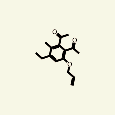 C=CCOc1cc(CC)c(C)c(C(C)=O)c1C(C)=O